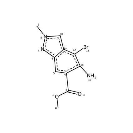 COC(=O)c1cc2nn(C)cc2c(Br)c1N